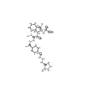 CCN(CCN(C)c1ccc(OCCCN2CCCC2C)cc1)C(=O)c1c(CC(=O)O)n(C)c2ccccc12